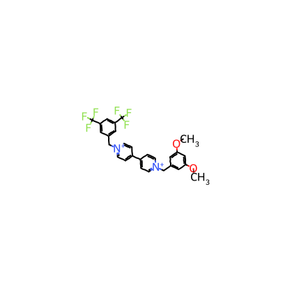 COc1cc(C[n+]2ccc(-c3cc[n+](Cc4cc(C(F)(F)F)cc(C(F)(F)F)c4)cc3)cc2)cc(OC)c1